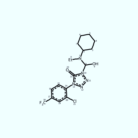 CCN(C1CCCCC1)C(O)n1nnn(-c2ccc(C(F)(F)F)cc2Cl)c1=O